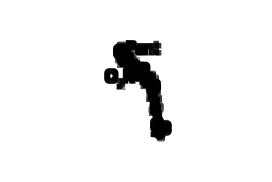 C=C(C)C(=O)OCCCCCCCCCCOc1ccc(C(=O)Oc2ccc(-c3ccc(OCCCCC)cc3)cc2[N+](=O)[O-])cc1